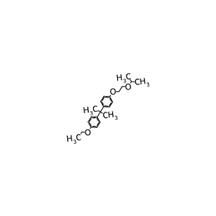 CCOc1ccc(C(C)(C)c2ccc(OCCOC(C)C)cc2)cc1